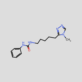 Cn1cnnc1CCCCCNC(=O)Nc1ccccc1